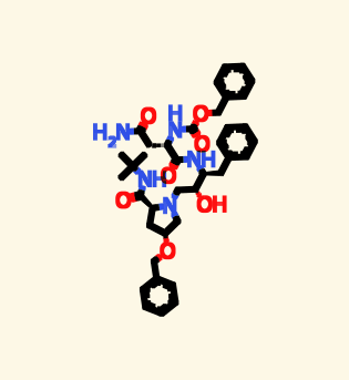 CC(C)(C)NC(=O)[C@@H]1C[C@H](OCc2ccccc2)CN1C[C@@H](O)[C@H](Cc1ccccc1)NC(=O)[C@H](CC(N)=O)NC(=O)OCc1ccccc1